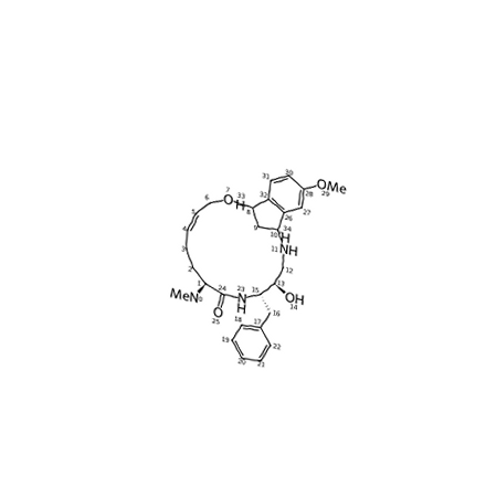 CN[C@H]1CCC=CCO[C@@H]2C[C@H](NC[C@@H](O)[C@H](Cc3ccccc3)NC1=O)c1cc(OC)ccc12